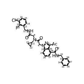 CC(=O)c1nn(CC(=O)N(CC(=O)NCc2cccc(Cl)c2F)C2CC2)c2cccc(C(=O)NCc3ccccc3)c12